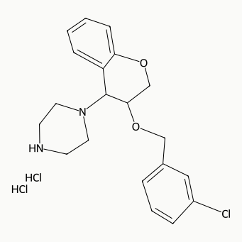 Cl.Cl.Clc1cccc(COC2COc3ccccc3C2N2CCNCC2)c1